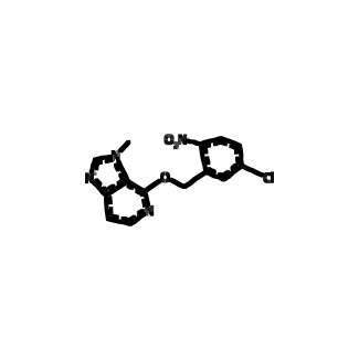 Cn1cnc2ccnc(OCc3cc(Cl)ccc3[N+](=O)[O-])c21